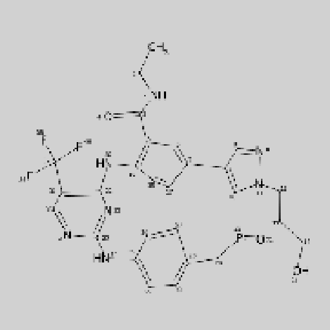 CCNC(=O)c1cc(-c2cnn(CCCO)c2)ccc1Nc1nc(Nc2ccc(CP=O)cc2)ncc1C(F)(F)F